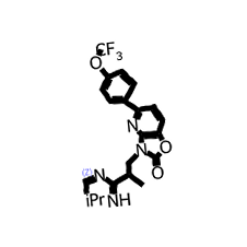 CC(C)/C=N\C(=N)C(C)Cn1c(=O)oc2ccc(-c3ccc(OC(F)(F)F)cc3)nc21